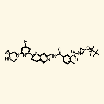 Cc1ccc(C(=O)NCc2cc3nc(-c4cc(F)cc(N5CCNC6(CC6)C5)n4)ccc3cn2)cc1S(=O)(=O)N1CC(O[Si](C)(C)C(C)(C)C)C1